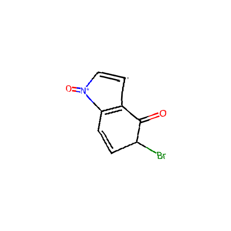 O=C1C2=C(C=CC1Br)[N+](=O)C=[C]2